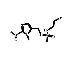 Cn1c(COP(C)(=O)NCCBr)cnc1[N+](=O)[O-]